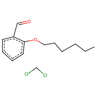 CCCCCCOc1ccccc1C=O.ClCCl